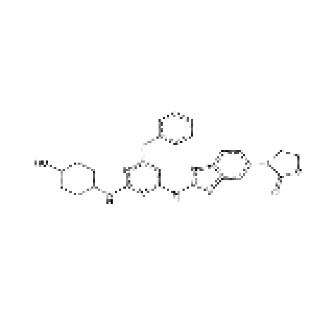 O=C1OCCN1c1ccc2nc(Nc3cc(Cc4ccccc4)nc(NC4CCC(O)CC4)n3)sc2c1